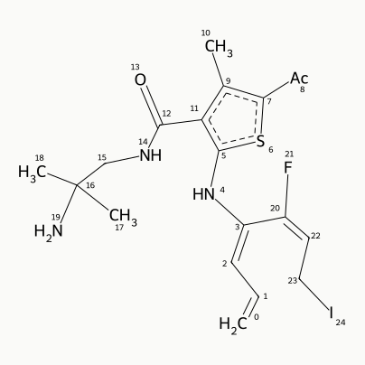 C=C/C=C(Nc1sc(C(C)=O)c(C)c1C(=O)NCC(C)(C)N)\C(F)=C/CI